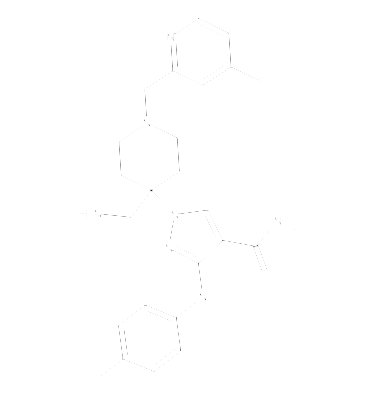 NCC1(n2cc(C(N)=O)c(Nc3ccc(F)cc3)n2)CCN(Cc2cc(F)ccn2)CC1